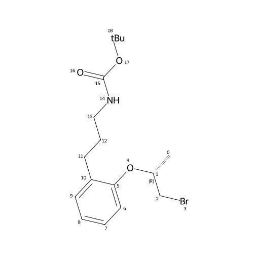 C[C@H](CBr)Oc1ccccc1CCCNC(=O)OC(C)(C)C